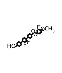 CCOc1ccc(OC(=O)c2ccc(-c3ccc(C4CCC(CO)CC4)c(F)c3F)cc2)cc1F